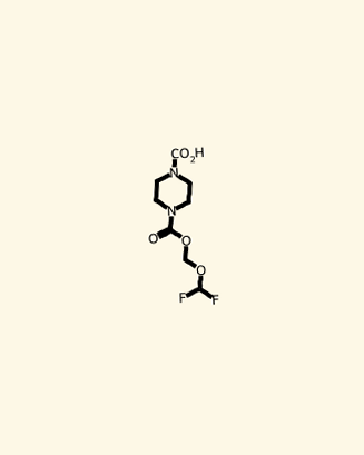 O=C(O)N1CCN(C(=O)OCOC(F)F)CC1